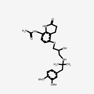 COc1ccc(CC(C)(C)NCC(O)COc2ccc(NC(N)=O)c3c2CCC(=O)N3)cc1OC